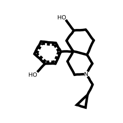 Oc1cccc(C23CCN(CC4CC4)CC2CCC(O)C3)c1